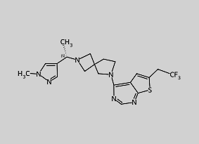 C[C@@H](c1cnn(C)c1)N1CC2(CCN(c3ncnc4sc(CC(F)(F)F)cc34)C2)C1